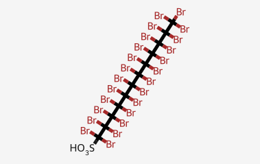 O=S(=O)(O)C(Br)(Br)C(Br)(Br)C(Br)(Br)C(Br)(Br)C(Br)(Br)C(Br)(Br)C(Br)(Br)C(Br)(Br)C(Br)(Br)C(Br)(Br)C(Br)(Br)C(Br)(Br)Br